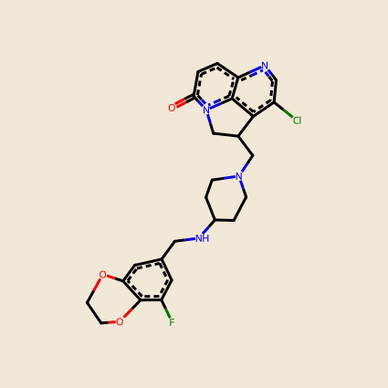 O=c1ccc2ncc(Cl)c3c2n1CC3CN1CCC(NCc2cc(F)c3c(c2)OCCO3)CC1